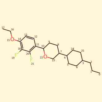 CCCC1CCC(C2CCC(c3ccc(OCC)c(F)c3F)OC2)CC1